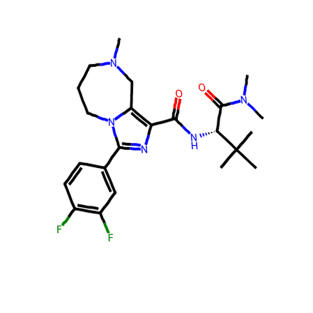 CN1CCCn2c(-c3ccc(F)c(F)c3)nc(C(=O)N[C@H](C(=O)N(C)C)C(C)(C)C)c2C1